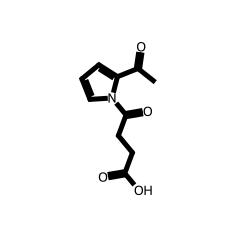 CC(=O)c1cccn1C(=O)CCC(=O)O